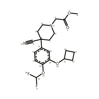 COC(=O)CN1CCC(C#N)(c2ccc(OC(F)F)c(OC3CCC3)c2)CC1